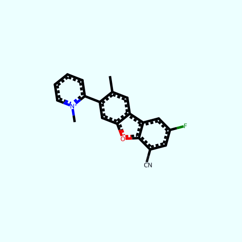 Cc1cc2c(cc1-c1cccc[n+]1C)oc1c(C#N)cc(F)cc12